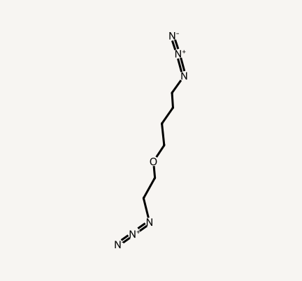 [N-]=[N+]=NCCCCOCCN=[N+]=[N-]